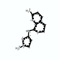 Cc1ccc2ccnc(Nc3ccn(C)n3)c2n1